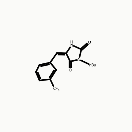 CCCCN1C(=O)NC(=Cc2cccc(C(F)(F)F)c2)C1=O